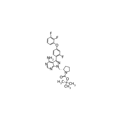 CC(C)(C)OC(=O)N1CCC[C@H]1Cn1nc(-c2ccc(Oc3cccc(F)c3F)cc2F)c2c(N)ncnc21